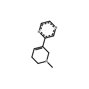 CN1CCC=C(c2cnccn2)C1